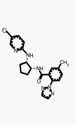 Cc1ccc(-n2nccn2)c(C(=O)N[C@@H]2CCC[C@@H]2Nc2ccc(Cl)cn2)c1